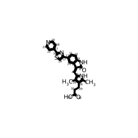 Cc1[nH]c(/C=C2\C(=O)Nc3ccc(-c4csc(-c5ccncc5)n4)cc32)c(C)c1CCC(=O)O